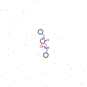 O=c1c(CNCc2ccccc2)c(O)ccn1Cc1ccccc1